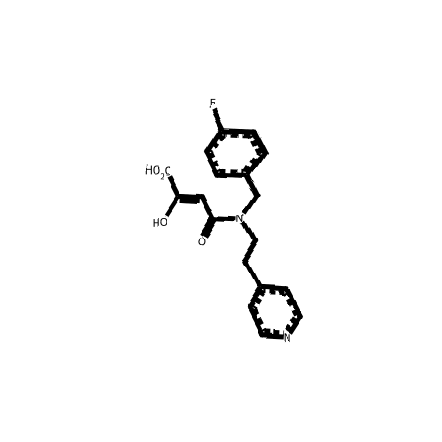 O=C(O)C(O)=CC(=O)N(CCc1ccncc1)Cc1ccc(F)cc1